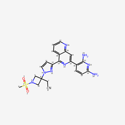 CS(=O)(=O)N1CC(CC#N)(n2ccc(-c3nc(-c4ccc(N)nc4N)cc4ncccc34)n2)C1